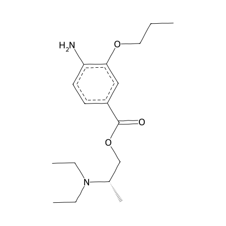 CCCOc1cc(C(=O)OC[C@H](C)N(CC)CC)ccc1N